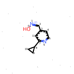 O/N=C\c1ccnc(C2CC2)c1